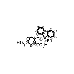 CC(C)(C)[Si](OC[C@@H]1CO[C@@H](CO)CN1C(=O)O)(c1ccccc1)c1ccccc1